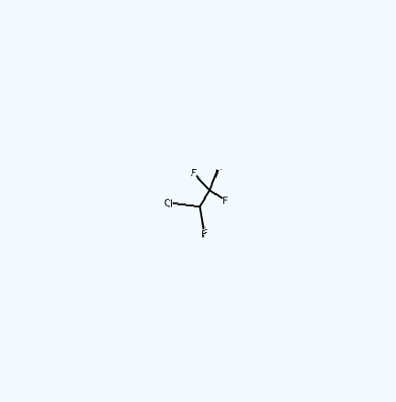 [CH2]C(F)(F)C(F)Cl